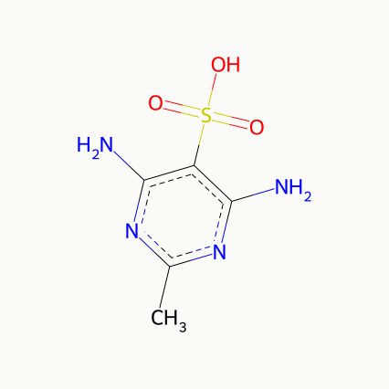 Cc1nc(N)c(S(=O)(=O)O)c(N)n1